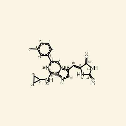 Cc1cccc(-c2cn3c(/C=C4\NC(=O)NC4=O)cnc3c(NC3CC3)n2)c1